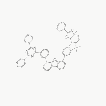 CC1(C)C2=C(c3ccc(-c4cccc5c4oc4c(-c6cccc(-c7nc(-c8ccccc8)nc(-c8ccccc8)n7)c6)cccc45)cc31)C1SC(c3ccccc3)=NC1(C)C=C2